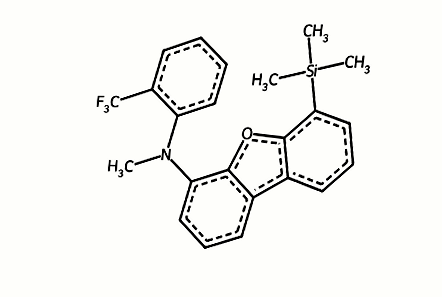 CN(c1ccccc1C(F)(F)F)c1cccc2c1oc1c([Si](C)(C)C)cccc12